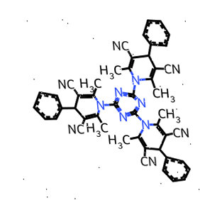 CC1=C(C#N)C(c2ccccc2)C(C#N)=C(C)N1c1nc(N2C(C)=C(C#N)C(c3ccccc3)C(C#N)=C2C)nc(N2C(C)=C(C#N)C(c3ccccc3)C(C#N)=C2C)n1